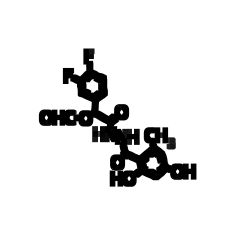 Cc1cc(O)cc(O)c1C(=O)NNC(=O)C(OC=O)c1ccc(F)c(F)c1